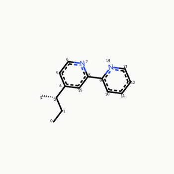 CC[C@H](C)c1ccnc(-c2ccccn2)c1